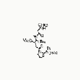 CC[C@H](C)C(C(CC(=O)N1CCC[C@H]1[C@H](OC)C(C)C)OC)N(C)C(=O)CNC=O